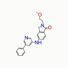 COCCN1Cc2cc(Nc3cncc(-c4ccccc4)c3)ccc2C1=O